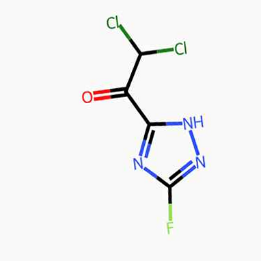 O=C(c1nc(F)n[nH]1)C(Cl)Cl